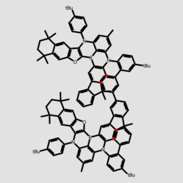 Cc1cc2c3c(c1)N(c1ccc(C(C)(C)C)cc1)c1c(oc4cc5c(cc14)C(C)(C)CCC5(C)C)B3c1cc3c(cc1N2c1ccc(C(C)(C)C)cc1-c1cccc(-c2ccc4c(c2)-c2cc5c(cc2C4(C)C)N(c2ccc(C(C)(C)C)cc2-c2ccccc2)c2cc(C)cc4c2B5c2oc5cc6c(cc5c2N4c2ccc(C(C)(C)C)cc2)C(C)(C)CCC6(C)C)c1)C(C)(C)c1ccccc1-3